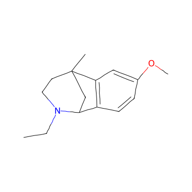 CCN1CCC2(C)CC1c1ccc(OC)cc12